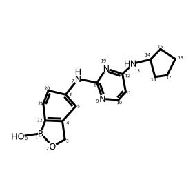 OB1OCc2cc(Nc3nccc(NC4CCCC4)n3)ccc21